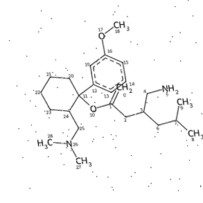 C=C(CC(CN)CC(C)C)OC1(c2cccc(OC)c2)CCCCC1CN(C)C